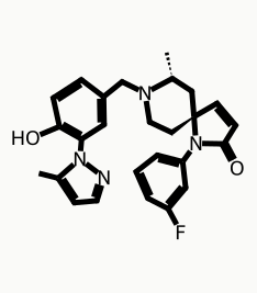 Cc1ccnn1-c1cc(CN2CC[C@]3(C=CC(=O)N3c3cccc(F)c3)C[C@H]2C)ccc1O